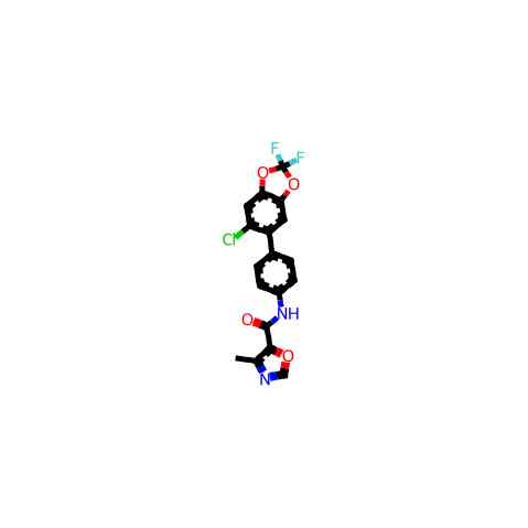 Cc1ncoc1C(=O)Nc1ccc(-c2cc3c(cc2Cl)OC(F)(F)O3)cc1